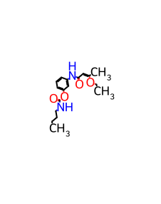 CCCCNC(=O)Oc1cccc(NC(=O)C=C(C)OCC)c1